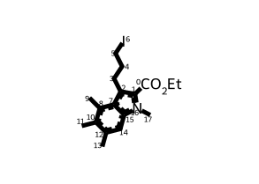 CCOC(=O)c1c(CCCI)c2c(C)c(C)c(C)cc2n1C